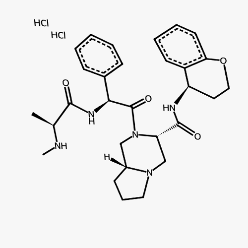 CN[C@@H](C)C(=O)N[C@H](C(=O)N1C[C@H]2CCCN2C[C@H]1C(=O)N[C@@H]1CCOc2ccccc21)c1ccccc1.Cl.Cl